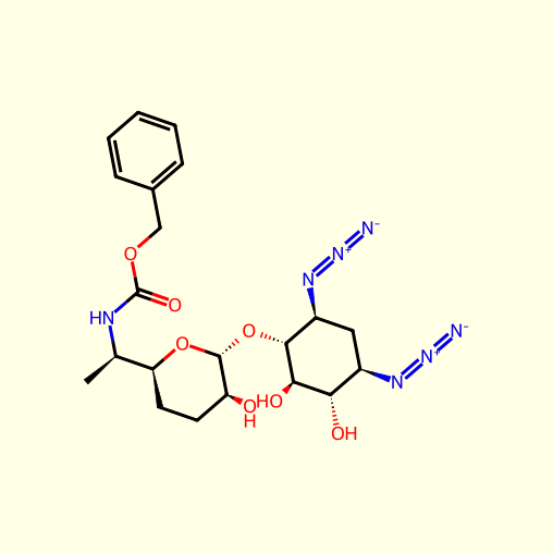 C[C@@H](NC(=O)OCc1ccccc1)[C@@H]1CC[C@H](O)[C@@H](O[C@H]2[C@H](O)[C@@H](O)[C@H](N=[N+]=[N-])C[C@@H]2N=[N+]=[N-])O1